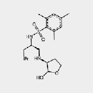 Cc1cc(C)c(S(=O)(=O)N[C@@H](CN[C@H]2CCOC2O)CC(C)C)c(C)c1